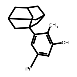 Cc1c(O)cc(C(C)C)cc1C12CC3CC(CC(C3)C1)C2